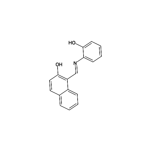 Oc1ccccc1N=Cc1c(O)ccc2ccccc12